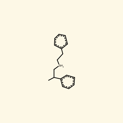 CC(C[SiH2]CCc1ccccc1)c1ccccc1